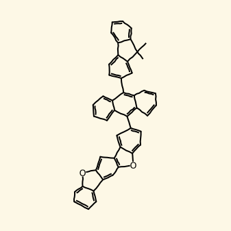 CC1(C)c2ccccc2-c2ccc(-c3c4ccccc4c(-c4ccc5oc6cc7c(cc6c5c4)oc4ccccc47)c4ccccc34)cc21